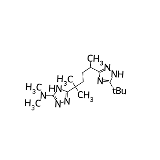 CC(CCC(C)(C)c1nnc(N(C)C)[nH]1)c1n[nH]c(C(C)(C)C)n1